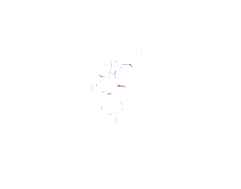 CCCCC(=O)NN1C(=O)NC2(CCN(C)CC2)C1=O